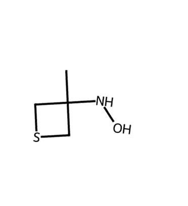 CC1(NO)CSC1